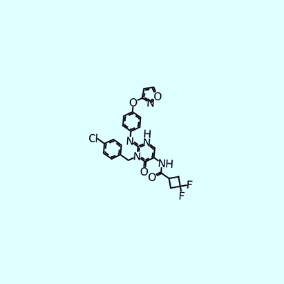 O=C(Nc1c[nH]/c(=N\c2ccc(Oc3ccon3)cc2)n(Cc2ccc(Cl)cc2)c1=O)C1CC(F)(F)C1